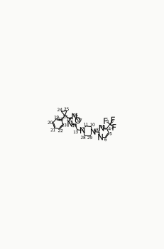 FC(F)(F)c1ccnc(N2CCN(Cc3nc(C4(c5ccccc5)CC4)no3)CC2)n1